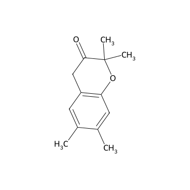 Cc1cc2c(cc1C)OC(C)(C)C(=O)C2